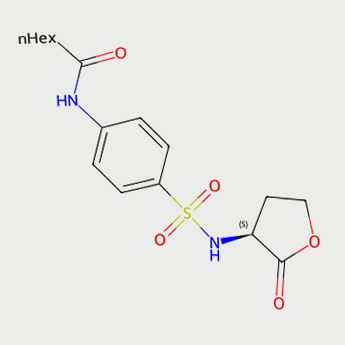 CCCCCCC(=O)Nc1ccc(S(=O)(=O)N[C@H]2CCOC2=O)cc1